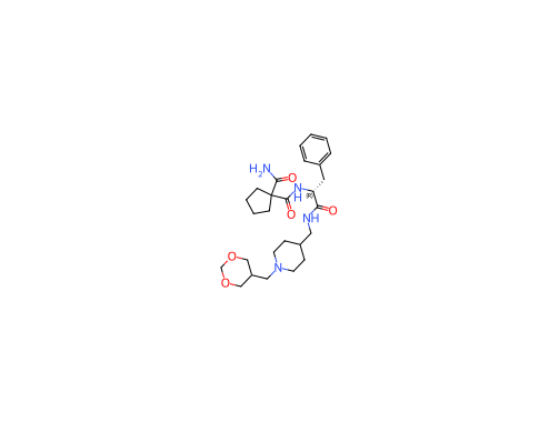 NC(=O)C1(C(=O)N[C@H](Cc2ccccc2)C(=O)NCC2CCN(CC3COCOC3)CC2)CCCC1